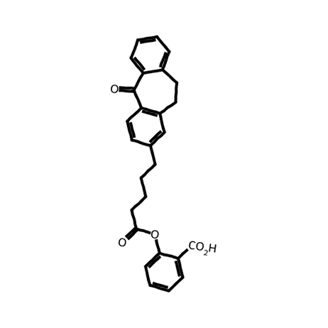 O=C(CCCCc1ccc2c(c1)CCc1ccccc1C2=O)Oc1ccccc1C(=O)O